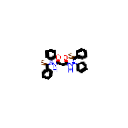 O=C(CC(=O)NN(C(=S)c1ccccc1)c1ccccc1)NN(C(=S)c1ccccc1)c1ccccc1